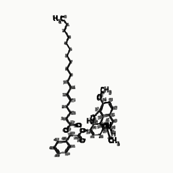 CCCCCCCCCCCCCCCCCC(=O)O[C@H](C(=O)OC1=CC[C@@]2(O)[C@H]3Cc4ccc(OC)c5c4[C@@]2(CCC3C)[C@H]1O5)c1ccccc1